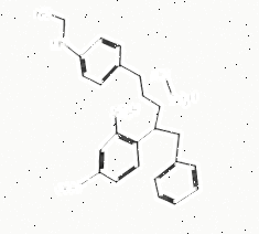 N#CCNc1ccc(CCCC(Cc2ccccc2)c2ccc(C=O)cc2S(=O)(=O)O)cc1.O=S(=O)(O)O